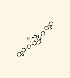 CC1(C)c2cc(-c3ccc(-c4ccc5c(c4)sc4ccccc45)cc3)cc3ccc4cc(-c5ccc(-c6ccc7c(c6)sc6ccccc67)cc5)cc1c4c23